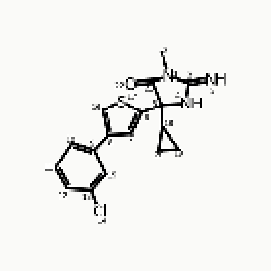 CN1C(=N)NC(c2cc(-c3cccc(Cl)c3)cs2)(C2CC2)C1=O